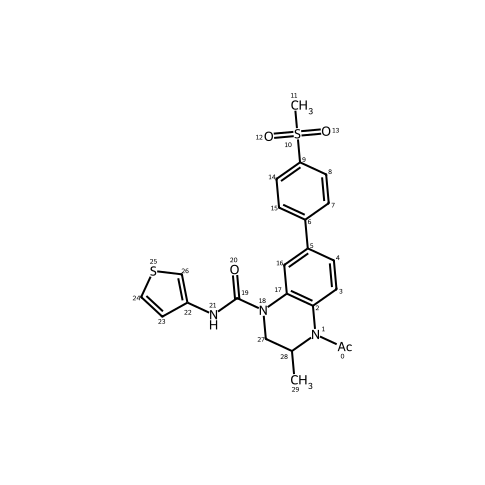 CC(=O)N1c2ccc(-c3ccc(S(C)(=O)=O)cc3)cc2N(C(=O)Nc2ccsc2)CC1C